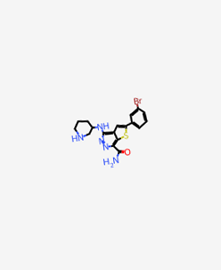 NC(=O)c1nnc(NC2CCCNC2)c2cc(-c3cccc(Br)c3)sc12